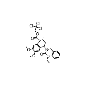 CCOC(=O)N(Cc1ccccc1)[C@H]1C[C@@H](C)N(C(=O)OCC(Cl)(Cl)Cl)c2cc(OC)c(OC)cc21